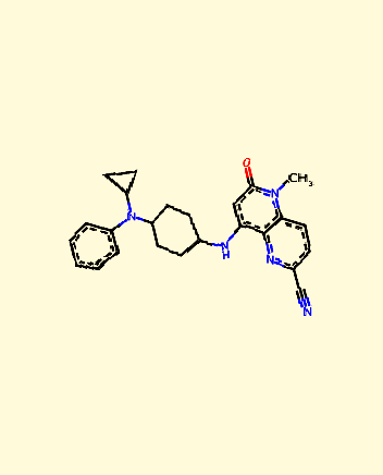 Cn1c(=O)cc(NC2CCC(N(c3ccccc3)C3CC3)CC2)c2nc(C#N)ccc21